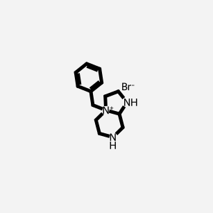 [Br-].c1ccc(C[N+]23CCNCC2NCC3)cc1